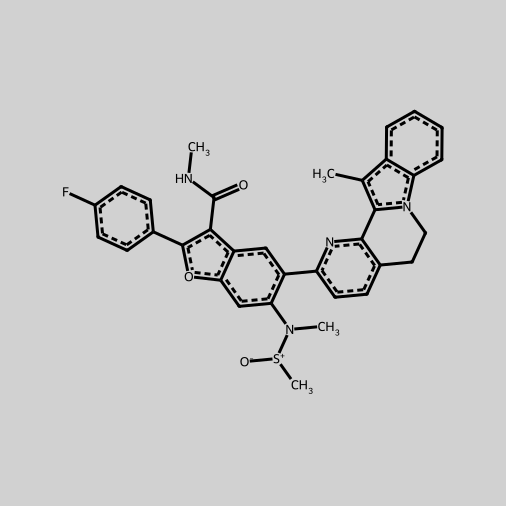 CNC(=O)c1c(-c2ccc(F)cc2)oc2cc(N(C)[S+](C)[O-])c(-c3ccc4c(n3)-c3c(C)c5ccccc5n3CC4)cc12